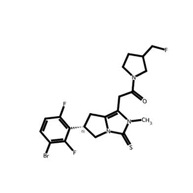 Cn1c(CC(=O)N2CCC(CF)C2)c2n(c1=S)C[C@H](c1c(F)ccc(Br)c1F)C2